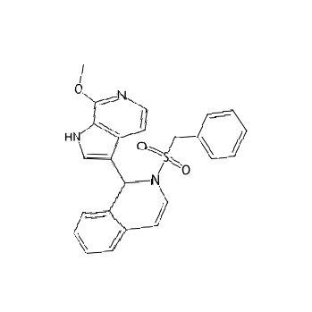 COc1nccc2c(C3c4ccccc4C=CN3S(=O)(=O)Cc3ccccc3)c[nH]c12